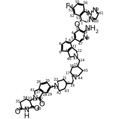 C[C@@H](Oc1cc(-c2cccc3c2CN(CC2CCN(CC4CCN(c5ccc6c(c5)C(=O)N(C5CCC(=O)NC5=O)C6)CC4)CC2)C3)cnc1N)c1cc(F)ccc1-n1nccn1